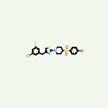 O=S(=O)(c1ccc(Br)cc1)C1CCN(c2nc(Cc3cc(F)cc(Cl)c3)cs2)CC1